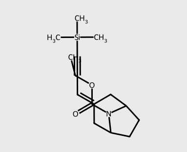 CCOC(=O)N1C2CCC1CC(=CC#C[Si](C)(C)C)C2